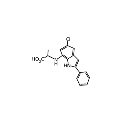 CC(Nc1cc(Cl)cc2cc(-c3ccccc3)[nH]c12)C(=O)O